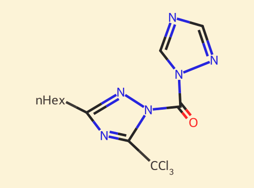 CCCCCCc1nc(C(Cl)(Cl)Cl)n(C(=O)n2cncn2)n1